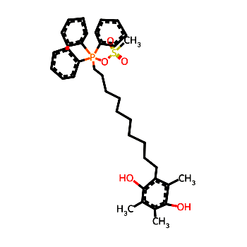 Cc1c(C)c(O)c(CCCCCCCCCCP(OS(C)(=O)=O)(c2ccccc2)(c2ccccc2)c2ccccc2)c(C)c1O